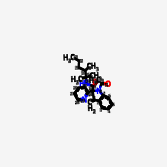 C=C1c2ccccc2N(C(C)=O)C1(C(=O)NC(C)(C)C(C)CCC)c1ccccn1